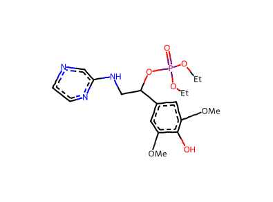 CCOP(=O)(OCC)OC(CNc1cnccn1)c1cc(OC)c(O)c(OC)c1